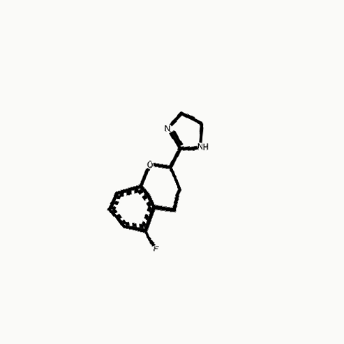 Fc1cccc2c1CCC(C1=NCCN1)O2